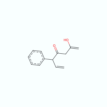 C=CC(C(=O)CC(=C)O)c1ccccc1